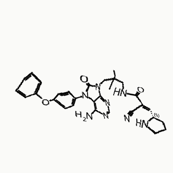 CC(C)(CNC(=O)C(C#N)=C[C@@H]1CCCN1)Cn1c(=O)n(-c2ccc(Oc3ccccc3)cc2)c2c(N)ncnc21